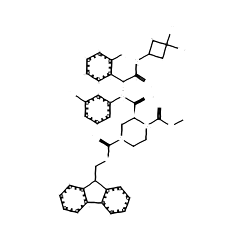 COC(=O)N1CCN(C(=O)OCC2c3ccccc3-c3ccccc32)C[C@H]1C(=O)N(c1cccc(F)c1)[C@@H](C(=O)NC1CC(F)(F)C1)c1ccccc1Cl